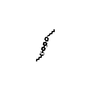 CCCCCCC[C@H]1CC[C@H](c2ccc(-c3ccc(C4SCC(CCCCC)CS4)cc3)c(F)c2)CC1